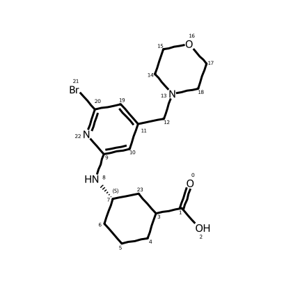 O=C(O)C1CCC[C@H](Nc2cc(CN3CCOCC3)cc(Br)n2)C1